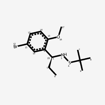 CC[C@H](NSC(C)(C)C)c1cc(Br)ccc1OC